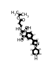 CC(C)OC(=O)CCNc1n[n+](O)c2cc(-c3cnn(C4CCNCC4)c3)ccc2[n+]1O